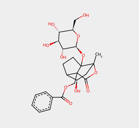 CC12C[C@@H](O)C3CCC1(O[C@@H]1O[C@H](CO)[C@@H](O)[C@H](O)[C@H]1O)C3(COC(=O)c1ccccc1)C(=O)O2